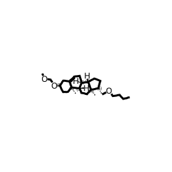 CCCCOC[C@H]1CC[C@H]2[C@@H]3CC=C4C[C@@H](OCOC)CC[C@]4(C)[C@H]3CC[C@]12C